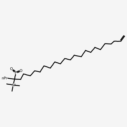 C=CCCCCCCCCCCCCCCCCCCCCC(CCC)(P(=O)=O)[N+](C)(C)C